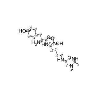 CC(=N)N(C)CC(=O)NCCCC[C@H](NC(=O)C(N)Cc1ccc(O)cc1)C(=O)O